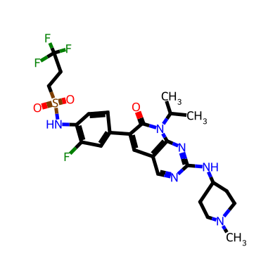 CC(C)n1c(=O)c(-c2ccc(NS(=O)(=O)CCC(F)(F)F)c(F)c2)cc2cnc(NC3CCN(C)CC3)nc21